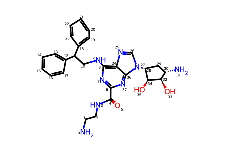 NCCNC(=O)c1nc(NCC(c2ccccc2)c2ccccc2)c2ncn([C@@H]3C[C@H](N)[C@@H](O)[C@H]3O)c2n1